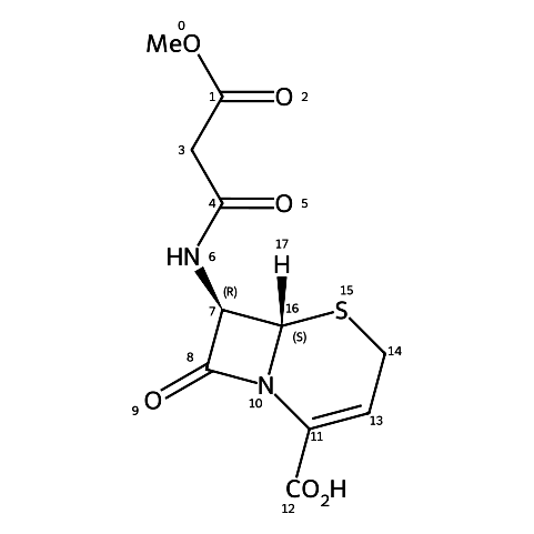 COC(=O)CC(=O)N[C@@H]1C(=O)N2C(C(=O)O)=CCS[C@@H]12